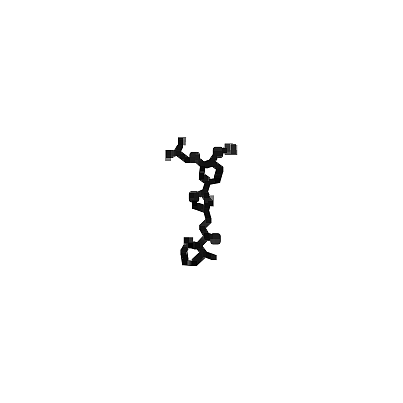 CCOc1ccc(-c2nc(CCC(=O)c3ncccc3C)co2)cc1OCC(F)F